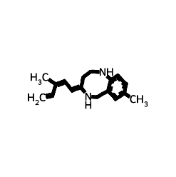 C=C/C(C)=C\C=C1/CCNc2ccc(C)cc2CN1